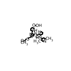 COCCOCCn1cc(NC(=O)c2ncccc2Nc2cc(C)ncc2C)c(-c2ccccn2)n1.O=CO